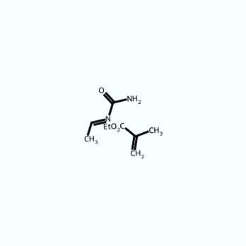 C=C(C)C(=O)OCC.CC=NC(N)=O